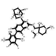 CN1CC[C@H](C(F)F)[C@](C)(COc2nc(N3C[C@H]4CC[C@@H](C3)N4)c3cc(F)c(-c4c(C#N)c(N)c(F)c(F)c4C(F)(F)F)c(F)c3n2)C1